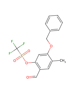 Cc1cc(C=O)c(OS(=O)(=O)C(F)(F)F)cc1OCc1ccccc1